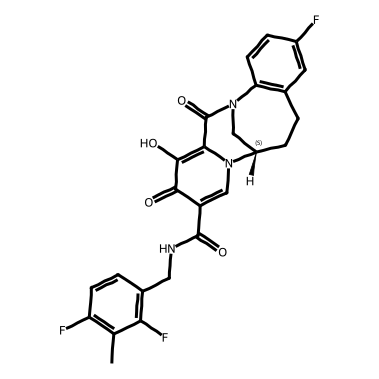 Cc1c(F)ccc(CNC(=O)c2cn3c(c(O)c2=O)C(=O)N2C[C@@H]3CCc3cc(F)ccc32)c1F